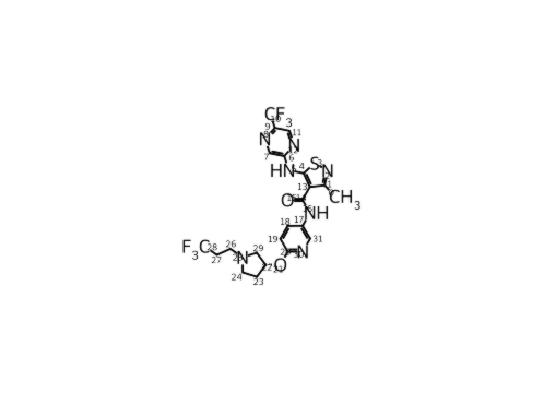 Cc1nsc(Nc2cnc(C(F)(F)F)cn2)c1C(=O)Nc1ccc(O[C@@H]2CCN(CCC(F)(F)F)C2)nc1